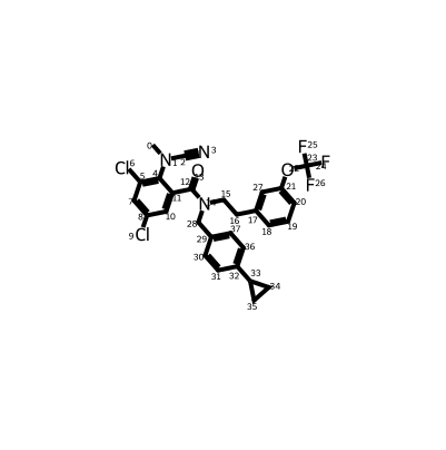 CN(C#N)c1c(Cl)cc(Cl)cc1C(=O)N(CCc1cccc(OC(F)(F)F)c1)Cc1ccc(C2CC2)cc1